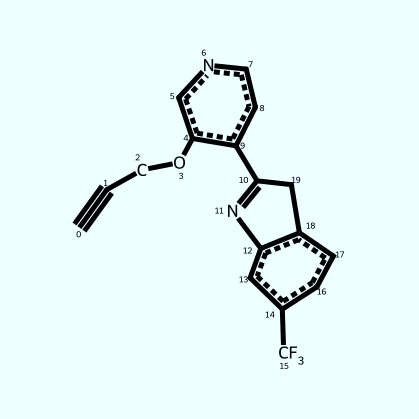 C#CCOc1cnccc1C1=Nc2cc(C(F)(F)F)ccc2C1